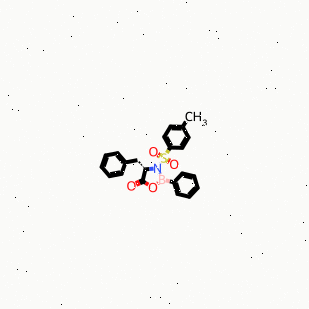 Cc1ccc(S(=O)(=O)N2B(c3ccccc3)OC(=O)[C@@H]2Cc2ccccc2)cc1